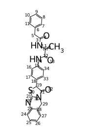 C[C@H](NC(=O)Cc1ccccc1)C(=O)Nc1ccc(C2SC3=Nc4ccccc4CN3C2=O)cc1